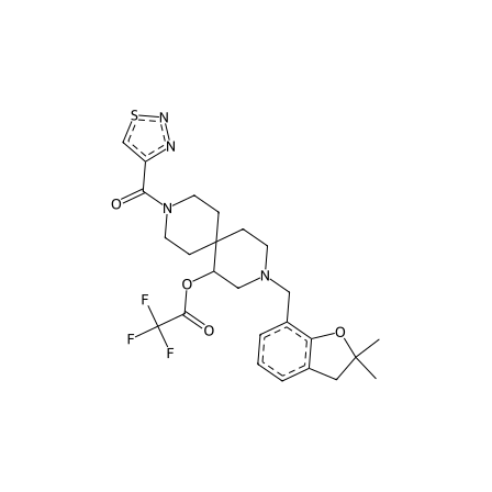 CC1(C)Cc2cccc(CN3CCC4(CCN(C(=O)c5csnn5)CC4)C(OC(=O)C(F)(F)F)C3)c2O1